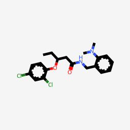 CCC(CC(=O)NCc1ccccc1N(C)C)Oc1ccc(Cl)cc1Cl